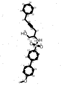 COc1ccc(-c2ccc(S(=O)(=O)NC(CO)CC#CCc3ccccc3)cc2)cc1